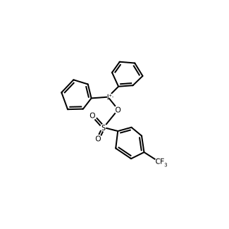 O=S(=O)(O[I+](c1ccccc1)c1ccccc1)c1ccc(C(F)(F)F)cc1